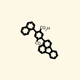 O=C(O)c1cc(-c2ccc3c4c(cccc24)-c2ccccc2-3)c(C(=O)O)cc1-c1cccc2ccccc12